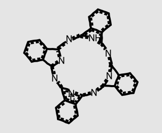 [Ti][n]1c2nc3nc(nc4[nH]c(nc5nc(nc1c1ccccc12)-c1ccccc1-5)c1ccccc41)-c1ccccc1-3